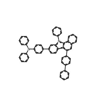 c1ccc(-c2ccc(-c3cc4ccccc4c4c3c3ccc(-c5ccc(N(c6ccccc6)c6ccccc6)cc5)cc3n4-c3ccccc3)cc2)cc1